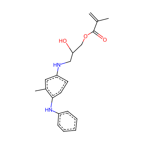 C=C(C)C(=O)OCC(O)CNc1ccc(Nc2ccccc2)c(C)c1